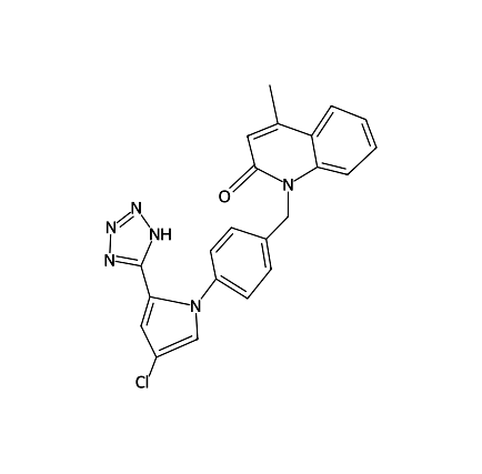 Cc1cc(=O)n(Cc2ccc(-n3cc(Cl)cc3-c3nnn[nH]3)cc2)c2ccccc12